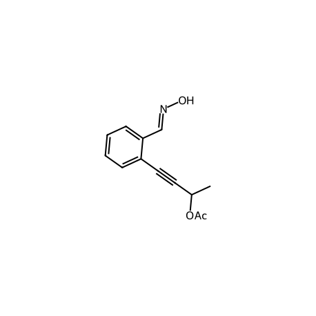 CC(=O)OC(C)C#Cc1ccccc1C=NO